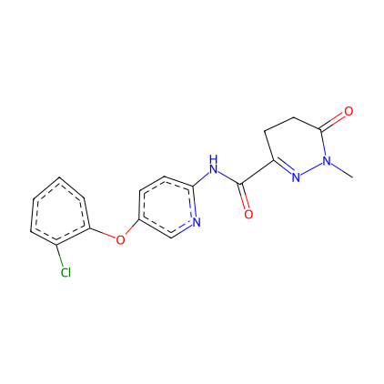 CN1N=C(C(=O)Nc2ccc(Oc3ccccc3Cl)cn2)CCC1=O